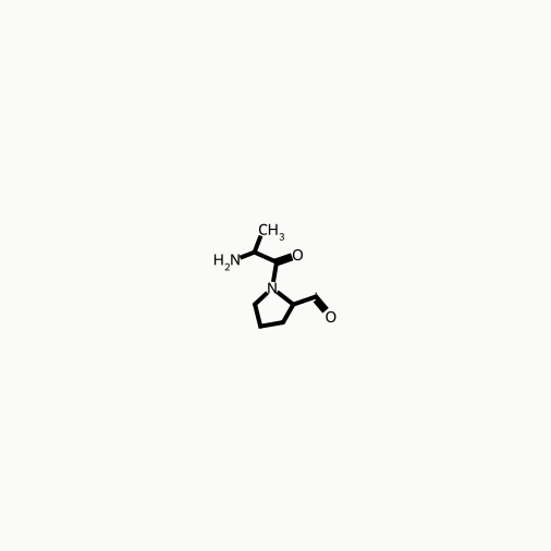 CC(N)C(=O)N1CCCC1[C]=O